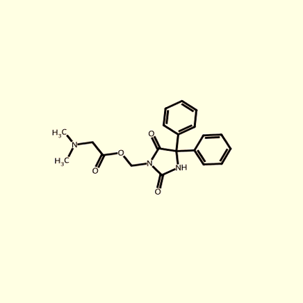 CN(C)CC(=O)OCN1C(=O)NC(c2ccccc2)(c2ccccc2)C1=O